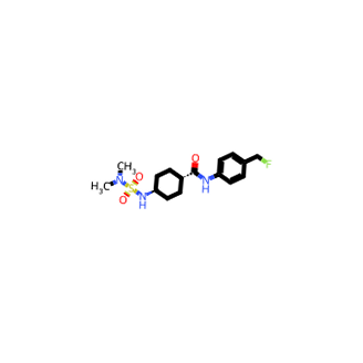 CN(C)S(=O)(=O)N[C@H]1CC[C@H](C(=O)Nc2ccc(CF)cc2)CC1